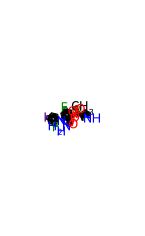 CS(=O)(=O)C(Oc1cc(F)cc(Nc2ccc(I)cc2F)c1C(N)=O)C1CCNC1